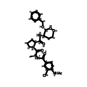 CC(=O)Nc1ccc(C(=O)N[C@@H](C)C(=O)N2CCC[C@H]2C(=O)N[C@H]2CCOO[C@H]2OCc2ccccc2)cc1Cl